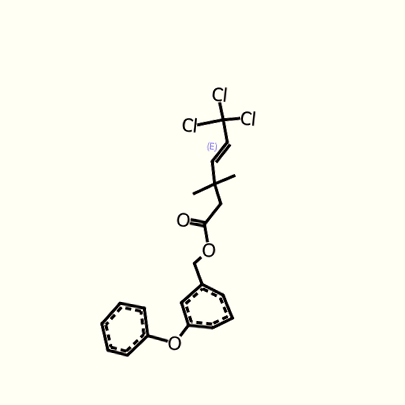 CC(C)(/C=C/C(Cl)(Cl)Cl)CC(=O)OCc1cccc(Oc2ccccc2)c1